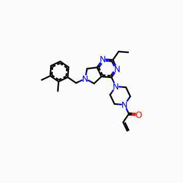 C=CC(=O)N1CCN(c2nc(CC)nc3c2CN(Cc2cccc(C)c2C)C3)CC1